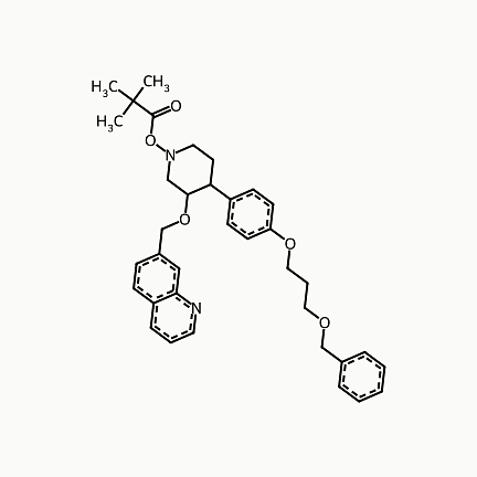 CC(C)(C)C(=O)ON1CCC(c2ccc(OCCCOCc3ccccc3)cc2)C(OCc2ccc3cccnc3c2)C1